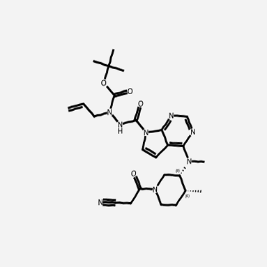 C=CCN(NC(=O)n1ccc2c(N(C)[C@H]3CN(C(=O)CC#N)CC[C@H]3C)ncnc21)C(=O)OC(C)(C)C